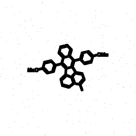 COc1ccc(-c2c3c(c(-c4ccc(OC)cc4)c4ccccc24)-c2ccc(C)c4cccc-3c24)cc1